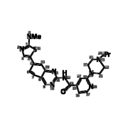 CNc1ncc(-c2ccc3cnc(NC(=O)c4ccnc(N5CCN(C(C)C)CC5)c4)nc3c2)s1